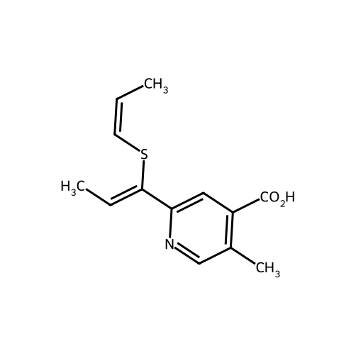 C/C=C\S/C(=C\C)c1cc(C(=O)O)c(C)cn1